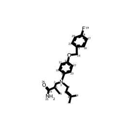 C[C](CN(CC=C(C)C)c1ccc(OCc2ccc(F)cc2)cc1)C(N)=O